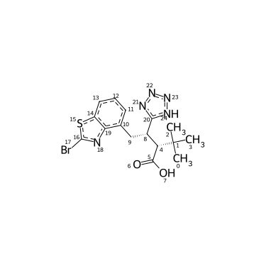 CC(C)(C)[C@H](C(=O)O)[C@H](Cc1cccc2sc(Br)nc12)c1nnn[nH]1